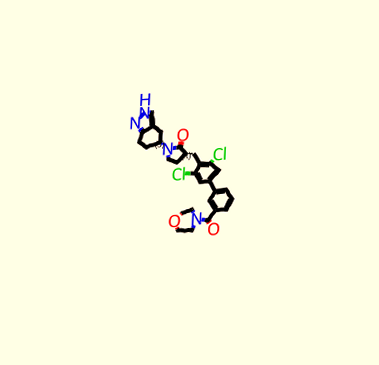 O=C(c1cccc(-c2cc(Cl)c(C[C@@H]3CCN([C@H]4CCc5n[nH]cc5C4)C3=O)c(Cl)c2)c1)N1CCOCC1